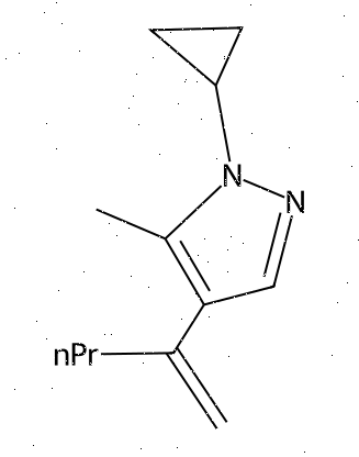 C=C(CCC)c1cnn(C2CC2)c1C